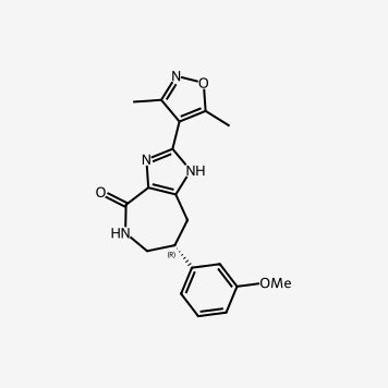 COc1cccc([C@@H]2CNC(=O)c3nc(-c4c(C)noc4C)[nH]c3C2)c1